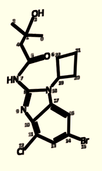 CC(C)(O)CC(=O)Nc1nc2c(Cl)cc(Br)cc2n1C1CCC1